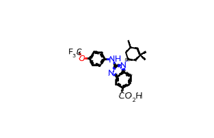 CC1C[C@@H](n2c(Nc3ccc(OC(F)(F)F)cc3)nc3cc(C(=O)O)ccc32)CC(C)(C)C1